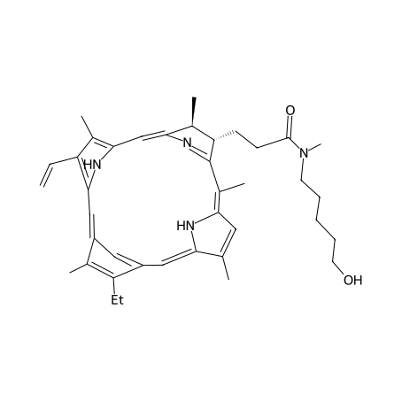 C=Cc1c(C)c2cc3nc(c(C)c4cc(C)c(cc5cc(cc1[nH]2)C(C)=C5CC)[nH]4)[C@@H](CCC(=O)N(C)CCCCCO)[C@@H]3C